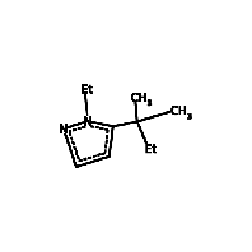 CCn1nccc1C(C)(C)CC